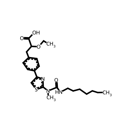 CCCCCCCNC(=O)N(C)c1nc(-c2ccc(CC(OCC)C(=O)O)cc2)cs1